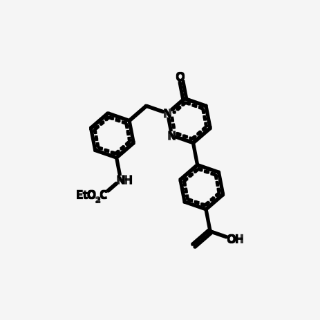 C=C(O)c1ccc(-c2ccc(=O)n(Cc3cccc(NC(=O)OCC)c3)n2)cc1